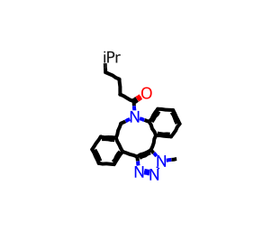 CC(C)CCCC(=O)N1Cc2ccccc2-c2nnn(C)c2-c2ccccc21